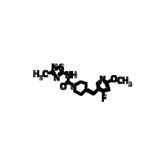 COc1cc(F)c(C=C2CCN(C(=O)Nc3nc(C)ns3)CC2)cn1